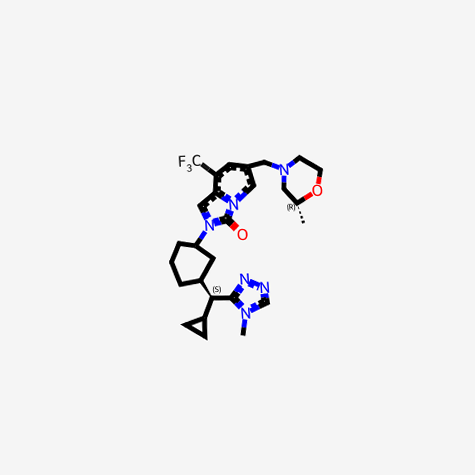 C[C@@H]1CN(Cc2cc(C(F)(F)F)c3cn(C4CCCC([C@@H](c5nncn5C)C5CC5)C4)c(=O)n3c2)CCO1